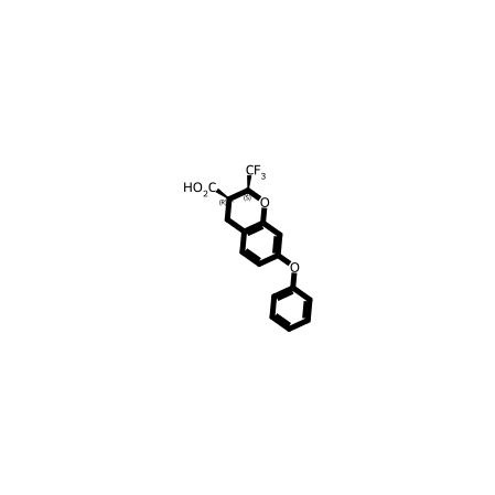 O=C(O)[C@@H]1Cc2ccc(Oc3ccccc3)cc2O[C@@H]1C(F)(F)F